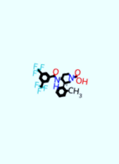 Cc1ccccc1[C@@H]1CN(C(=O)O)CC[C@H]1NC(=O)c1cc(C(F)(F)F)cc(C(F)(F)F)c1